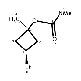 CC[C@H]1C[C@@](C)(OC(=O)NC)C1